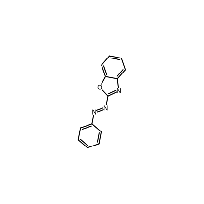 c1ccc(/N=N/c2nc3ccccc3o2)cc1